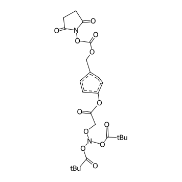 CC(C)(C)C(=O)ON(OCC(=O)Oc1ccc(COC(=O)ON2C(=O)CCC2=O)cc1)OC(=O)C(C)(C)C